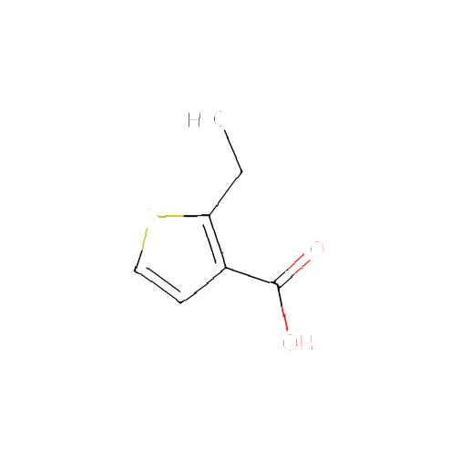 CCc1sccc1C(=O)O